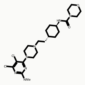 CNc1nc(Cl)c(Cl)c(N2CCN(CC[C@H]3CC[C@H](NC(=O)N4CCOCC4)CC3)CC2)n1